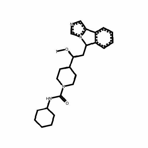 O=C(NC1CCCCC1)N1CCC(C(CC2c3ccccc3-c3cncn32)OI)CC1